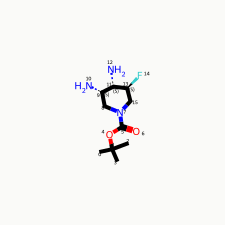 CC(C)(C)OC(=O)N1C[C@H](N)[C@H](N)[C@@H](F)C1